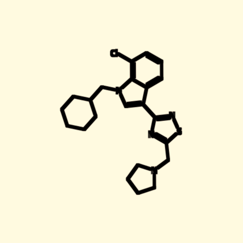 Clc1cccc2c(-c3nsc(CN4CCCC4)n3)cn(CC3CCCCC3)c12